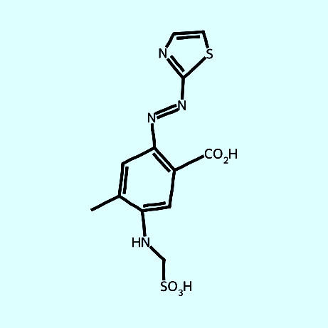 Cc1cc(N=Nc2nccs2)c(C(=O)O)cc1NCS(=O)(=O)O